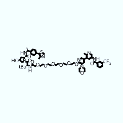 Cc1ncc(NC(=O)c2cccc(C(F)(F)F)c2)cc1-c1cnc(OCCOCCOCCOCCOCCOCC(=O)N[C@@H](C(=O)N2C[C@H](O)C[C@H]2C(=O)N[C@@H](C)c2ccc(-c3scnc3C)cc2)C(C)(C)C)c(N2CCOCC2)c1